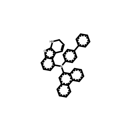 C1=Cc2c(oc3cccc(N(c4ccc(-c5ccccc5)cc4)c4cc5ccccc5c5ccccc45)c23)NC1